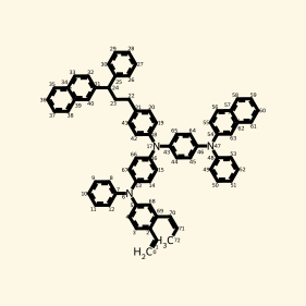 C=Cc1ccc(N(c2ccccc2)c2ccc(N(c3ccc(CCC(c4ccccc4)c4ccc5ccccc5c4)cc3)c3ccc(N(c4ccccc4)c4ccc5ccccc5c4)cc3)cc2)cc1/C=C\C